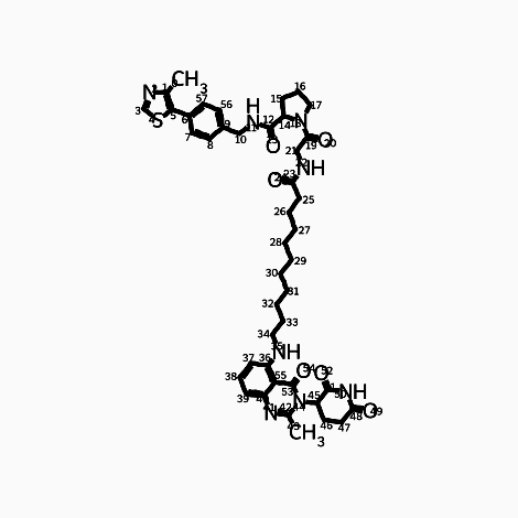 Cc1ncsc1-c1ccc(CNC(=O)C2CCCN2C(=O)CNC(=O)CCCCCCCCCCNc2cccc3nc(C)n(C4CCC(=O)NC4=O)c(=O)c23)cc1